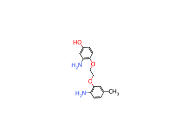 Cc1ccc(N)c(OCCOc2ccc(O)cc2N)c1